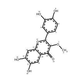 COc1c(-c2ccc(O)c(O)c2)oc2cc(O)c(O)cc2c1=O